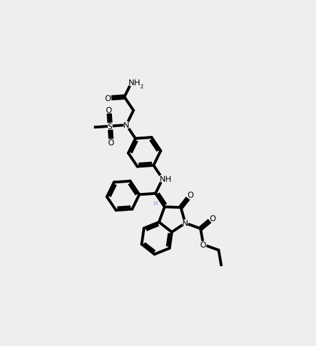 CCOC(=O)N1C(=O)/C(=C(\Nc2ccc(N(CC(N)=O)S(C)(=O)=O)cc2)c2ccccc2)c2ccccc21